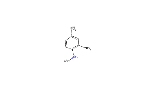 CCCCNc1ccc([N+](=O)[O-])cc1[N+](=O)[O-]